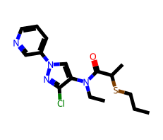 CCCSC(C)C(=O)N(CC)c1cn(-c2cccnc2)nc1Cl